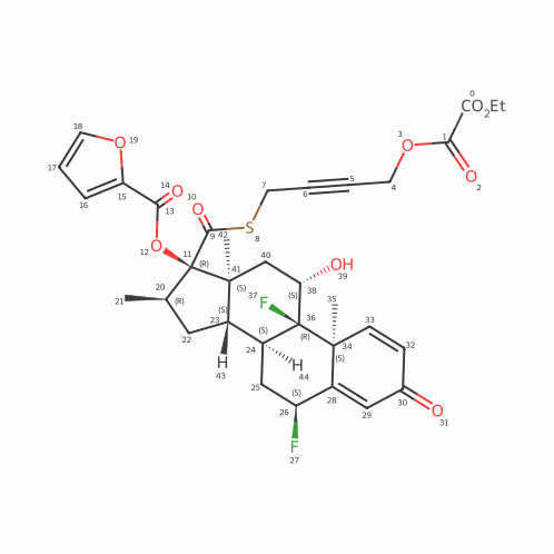 CCOC(=O)C(=O)OCC#CCSC(=O)[C@@]1(OC(=O)c2ccco2)[C@H](C)C[C@H]2[C@@H]3C[C@H](F)C4=CC(=O)C=C[C@]4(C)[C@@]3(F)[C@@H](O)C[C@@]21C